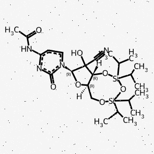 CC(=O)Nc1ccn([C@@H]2O[C@@H]3CO[Si](C(C)C)(C(C)C)O[Si](C(C)C)(C(C)C)O[C@H]3C2(O)C#N)c(=O)n1